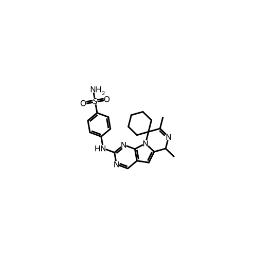 CC1=NC(C)c2cc3cnc(Nc4ccc(S(N)(=O)=O)cc4)nc3n2C12CCCCC2